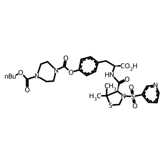 CCCCOC(=O)N1CCN(C(=O)Oc2ccc(C[C@H](NC(=O)[C@H]3N(S(=O)(=O)c4cccnc4)CSC3(C)C)C(=O)O)cc2)CC1